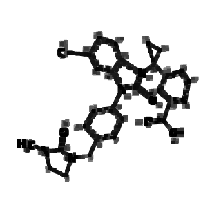 CN1CCN(Cc2ccc(-n3c(=O)n(C4(c5cccc(C(=O)O)c5)CC4)c4ccc(Cl)cc43)cc2)C1=O